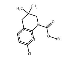 CC1(C)Cc2ccc(Cl)nc2N(C(=O)OC(C)(C)C)C1